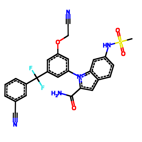 CS(=O)(=O)Nc1ccc2cc(C(N)=O)n(-c3cc(OCC#N)cc(C(F)(F)c4cccc(C#N)c4)c3)c2c1